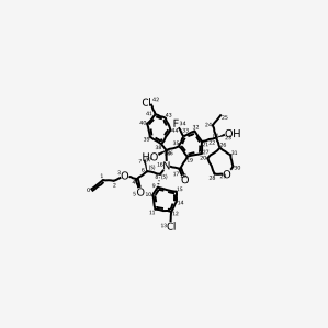 C=CCOC(=O)[C@@H](C)[C@@H](c1ccc(Cl)cc1)N1C(=O)c2cc([C@](O)(CC)C3CCOCC3)cc(F)c2[C@@]1(O)c1ccc(Cl)cc1